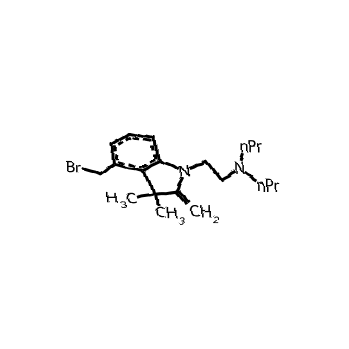 C=C1N(CCN(CCC)CCC)c2cccc(CBr)c2C1(C)C